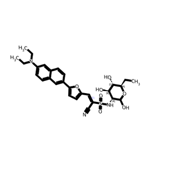 CC[C@H]1OC(O)[C@H](NS(=O)(=O)/C(C#N)=C/c2ccc(-c3ccc4cc(N(CC)CC)ccc4c3)o2)[C@@H](O)[C@@H]1O